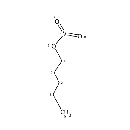 CCCCC[O][V](=[O])=[O]